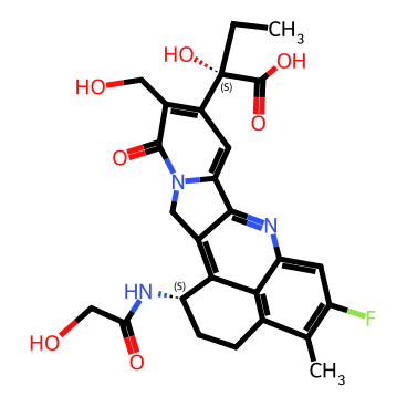 CC[C@@](O)(C(=O)O)c1cc2n(c(=O)c1CO)Cc1c-2nc2cc(F)c(C)c3c2c1[C@@H](NC(=O)CO)CC3